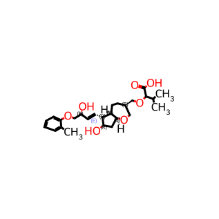 Cc1ccccc1OC[C@H](O)/C=C/[C@@H]1[C@H]2CC[C@@H](COC(C(=O)O)C(C)C)CO[C@H]2C[C@H]1O